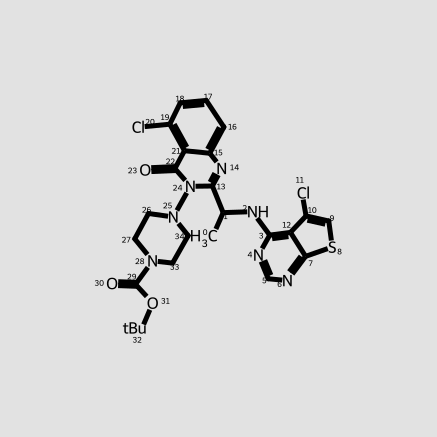 CC(Nc1ncnc2scc(Cl)c12)c1nc2cccc(Cl)c2c(=O)n1N1CCN(C(=O)OC(C)(C)C)CC1